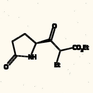 CCOC(=O)C(CC)C(=O)[C@@H]1CCC(=O)N1